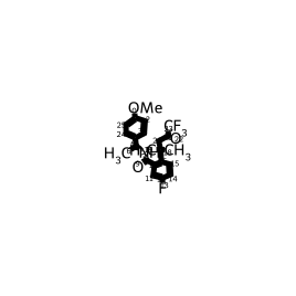 COc1ccc(C(C)NC(=O)c2cc(F)ccc2C(C)(C)CC(=O)C(F)(F)F)cc1